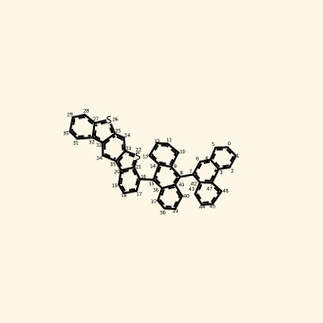 c1ccc2c(c1)cc(-c1c3ccccc3c(-c3cccc4c3sc3cc5sc6ccccc6c5cc34)c3ccccc13)c1ccccc12